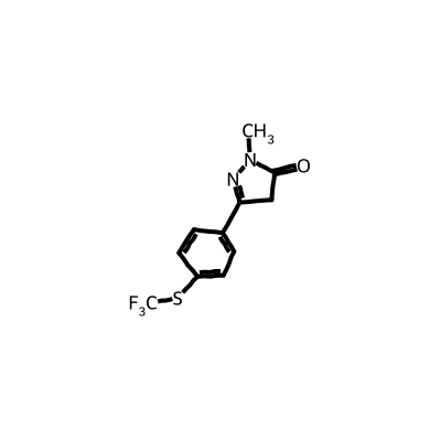 CN1N=C(c2ccc(SC(F)(F)F)cc2)CC1=O